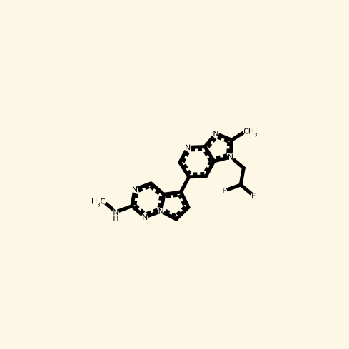 CNc1ncc2c(-c3cnc4nc(C)n(CC(F)F)c4c3)ccn2n1